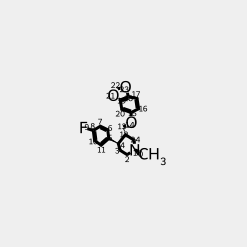 CN1CC[C@@H](c2ccc(F)cc2)[C@H](COc2ccc3c(c2)OCO3)C1